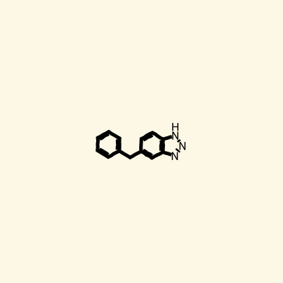 c1ccc(Cc2ccc3[nH]nnc3c2)cc1